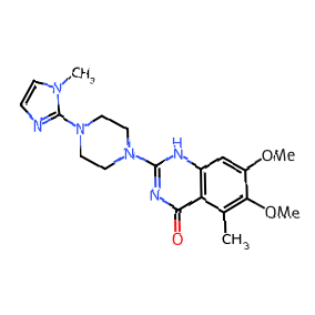 COc1cc2[nH]c(N3CCN(c4nccn4C)CC3)nc(=O)c2c(C)c1OC